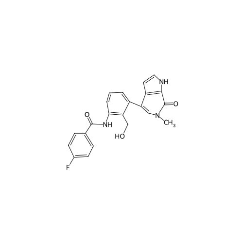 Cn1cc(-c2cccc(NC(=O)c3ccc(F)cc3)c2CO)c2cc[nH]c2c1=O